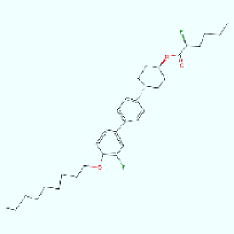 CCCCCCCCCOc1ccc(-c2ccc([C@H]3CC[C@H](OC(=O)[C@@H](F)CCCC)CC3)cc2)cc1F